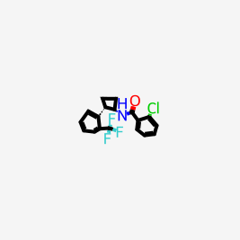 O=C(N[C@H]1CC[C@H]1c1ccccc1C(F)(F)F)c1ccccc1Cl